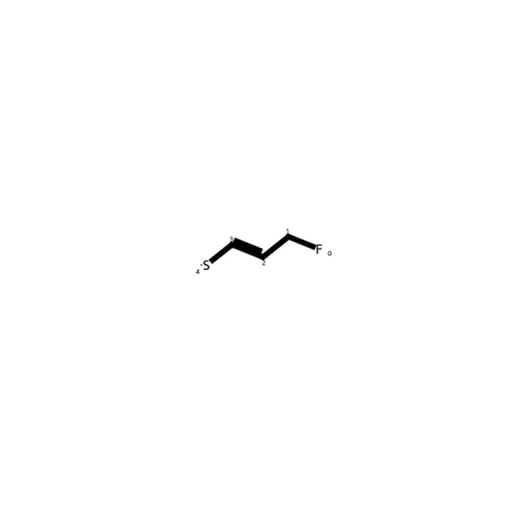 FCC=C[S]